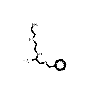 NCCNCCNC(COCc1ccccc1)C(=O)O